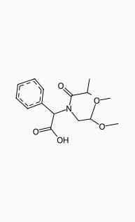 COC(CN(C(=O)C(C)C)C(C(=O)O)c1ccccc1)OC